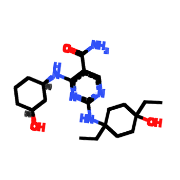 CCC1(O)CCC(CC)(Nc2ncc(C(N)=O)c(N[C@@H]3CCC[C@H](O)C3)n2)CC1